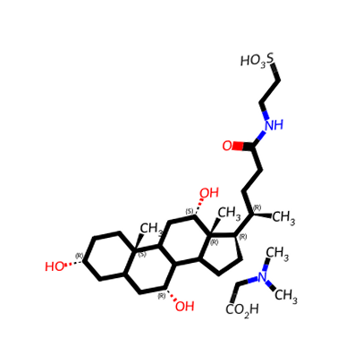 CN(C)CC(=O)O.C[C@H](CCC(=O)NCCS(=O)(=O)O)[C@H]1CCC2C3C(C[C@H](O)[C@@]21C)[C@@]1(C)CC[C@@H](O)CC1C[C@H]3O